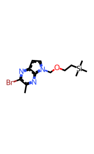 Cc1nc2c(ccn2COCC[Si](C)(C)C)nc1Br